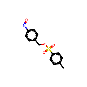 Cc1ccc(S(=O)(=O)OCc2ccc(N=O)cc2)cc1